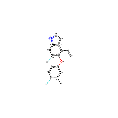 C=Cc1c(Oc2ccc(F)c(C)c2)c(F)cc2[nH]ccc12